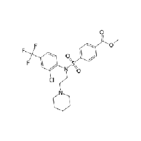 COC(=O)c1ccc(S(=O)(=O)N(CCN2CCCCC2)c2ccc(C(F)(F)F)cc2Cl)cc1